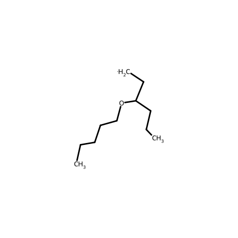 [CH2]CC(CCC)OCCCCC